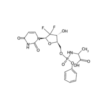 CC(NP(=O)(OC[C@H]1O[C@@H](n2ccc(=O)[nH]c2=O)C(F)(F)[C@@H]1O)Oc1ccccc1)C(=O)O